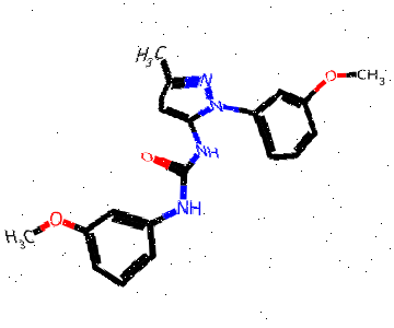 COc1cccc(NC(=O)Nc2cc(C)nn2-c2cccc(OC)c2)c1